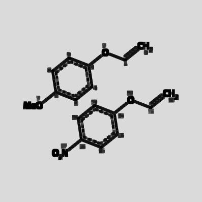 C=COc1ccc(OC)cc1.C=COc1ccc([N+](=O)[O-])cc1